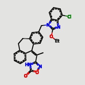 CCOc1nc2c(Cl)cccc2n1Cc1ccc2c(c1)CCc1ccccc1/C2=C(/C)c1noc(=O)[nH]1